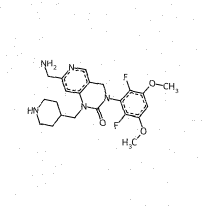 COc1cc(OC)c(F)c(N2Cc3cnc(CN)cc3N(CC3CCNCC3)C2=O)c1F